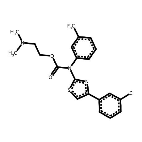 CN(C)CCOC(=O)N(c1cccc(C(F)(F)F)c1)c1nc(-c2cccc(Cl)c2)cs1